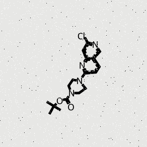 CC(C)(C)OC(=O)N1CCN(c2ccc3cnc(Cl)cc3n2)CC1